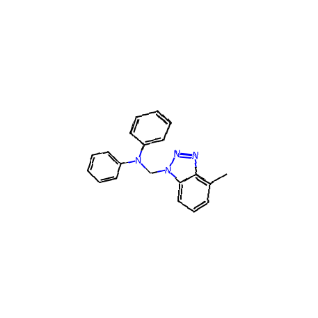 Cc1cccc2c1nnn2CN(c1ccccc1)c1ccccc1